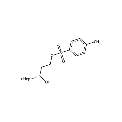 CCCCCCC[C@@H](O)CCOS(=O)(=O)c1ccc(C)cc1